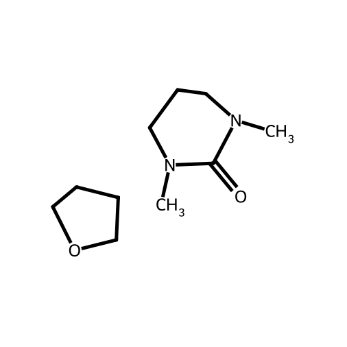 C1CCOC1.CN1CCCN(C)C1=O